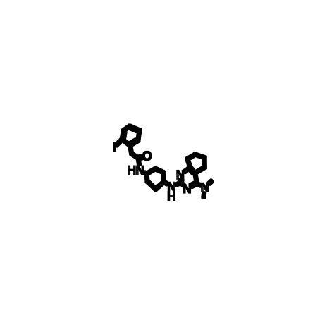 CN(C)c1nc(NC2CCC(NC(=O)Cc3ccccc3I)CC2)nc2c1CCCC2